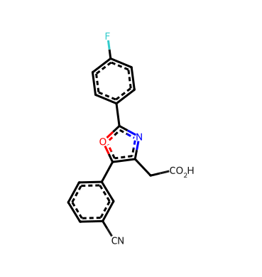 N#Cc1cccc(-c2oc(-c3ccc(F)cc3)nc2CC(=O)O)c1